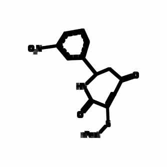 CCCCCSC1=CC(=O)CC(c2cccc([N+](=O)[O-])c2)NC1=O